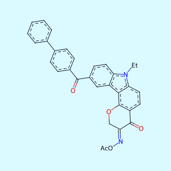 CCn1c2ccc(C(=O)c3ccc(-c4ccccc4)cc3)cc2c2c3c(ccc21)C(=O)/C(=N/OC(C)=O)CO3